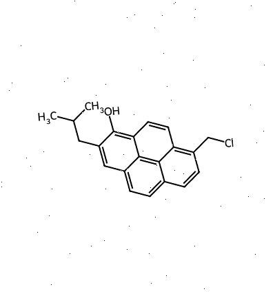 CC(C)Cc1cc2ccc3ccc(CCl)c4ccc(c1O)c2c34